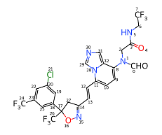 O=CN(CC(=O)NCC(F)(F)F)c1ccc(C=CC2=NOC(c3cc(Cl)cc(C(F)(F)F)c3)(C(F)(F)F)C2)n2cncc12